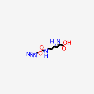 [N-]=[N+]=NCOC(=O)NCCCC[C@H](N)C(=O)O